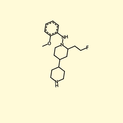 COc1ccccc1NN1CCC(C2CCNCC2)CC1CCF